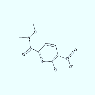 CON(C)C(=O)c1ccc([N+](=O)[O-])c(Cl)n1